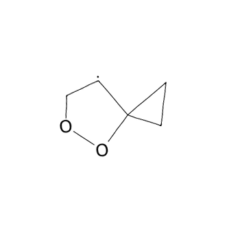 [CH]1COOC12CC2